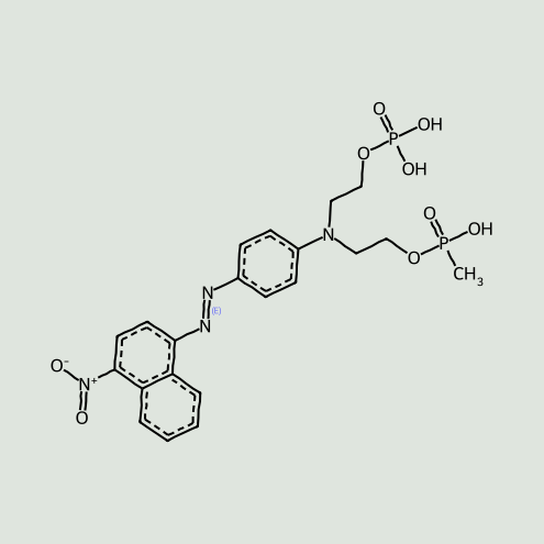 CP(=O)(O)OCCN(CCOP(=O)(O)O)c1ccc(/N=N/c2ccc([N+](=O)[O-])c3ccccc23)cc1